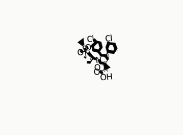 CC[C@@H](CN(C)S(=O)(=O)C1CC1)N1C(=O)[C@@]2(C[C@H](c3cccc(Cl)c3)C1c1ccc(Cl)cc1)C[C@@H]2C(=O)O